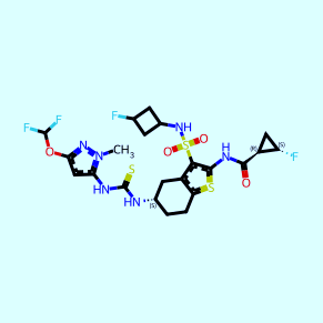 Cn1nc(OC(F)F)cc1NC(=S)N[C@H]1CCc2sc(NC(=O)[C@H]3C[C@@H]3F)c(S(=O)(=O)NC3CC(F)C3)c2C1